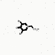 O=C(O)Cn1cc(Br)c(=O)c(Br)c1